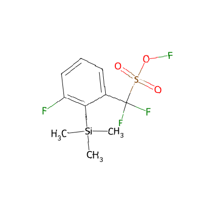 C[Si](C)(C)c1c(F)cccc1C(F)(F)S(=O)(=O)OF